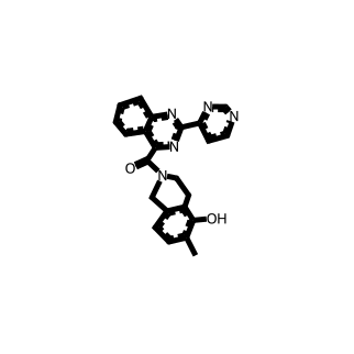 Cc1ccc2c(c1O)CCN(C(=O)c1nc(-c3ccncn3)nc3ccccc13)C2